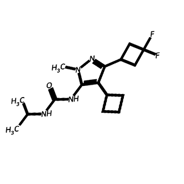 CC(C)NC(=O)Nc1c(C2CCC2)c(C2CC(F)(F)C2)nn1C